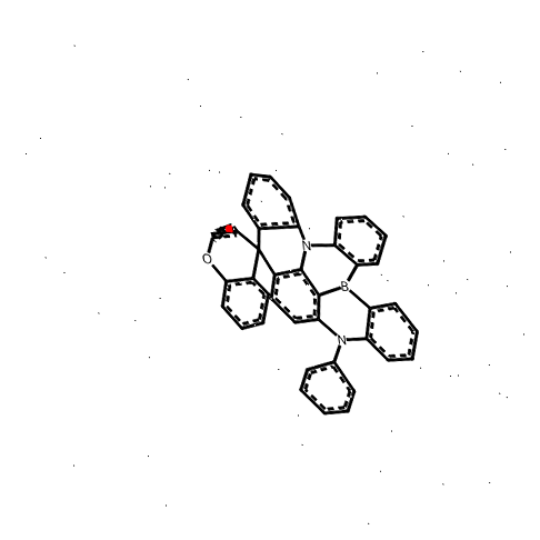 c1ccc(N2c3ccccc3B3c4ccccc4N4c5ccccc5C5(c6ccccc6Oc6ccccc65)c5ccc2c3c54)cc1